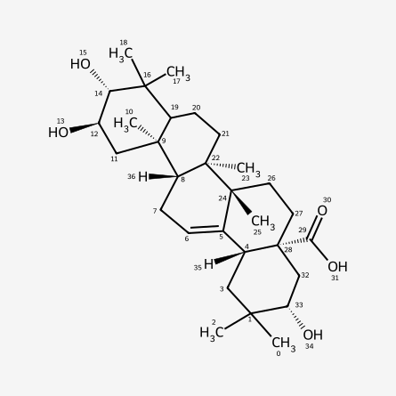 CC1(C)C[C@@H]2C3=CC[C@@H]4[C@@]5(C)C[C@@H](O)[C@H](O)C(C)(C)C5CC[C@@]4(C)[C@]3(C)CC[C@@]2(C(=O)O)C[C@@H]1O